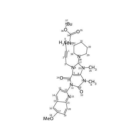 CC#CCN1c2c(n(C)c(=O)n(-c3ccc4cc(OC)ccc4n3)c2=O)N(C)C1N1CCC[C@@H](NC(=O)OC(C)(C)C)C1